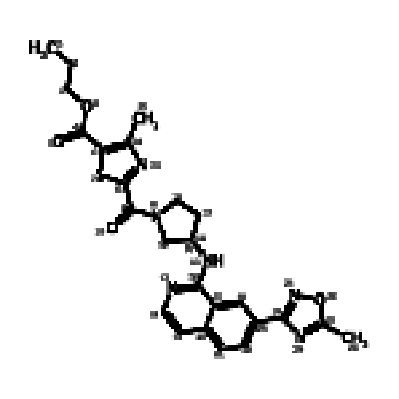 CCCOC(=O)c1sc(C(=O)N2CC[C@@H](Nc3nccc4ccc(-c5noc(C)n5)cc34)C2)nc1C